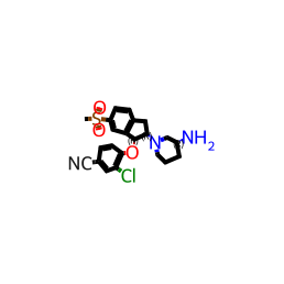 CS(=O)(=O)c1ccc2c(c1)[C@@H](Oc1ccc(C#N)cc1Cl)[C@H](N1CCC[C@@H](N)C1)C2